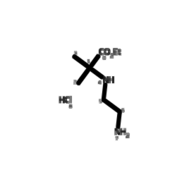 CCOC(=O)C(C)(C)NCCN.Cl